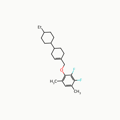 CCC1CCC(C2CC=C(COc3c(C)cc(C)c(F)c3F)CC2)CC1